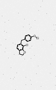 CCOc1ccc(Cc2ccc3c(c2Cl)OCC3)cc1